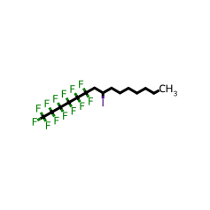 CCCCCCCC(I)CC(F)(F)C(F)(F)C(F)(F)C(F)(F)C(F)(F)C(F)(F)F